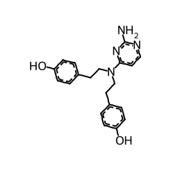 Nc1nccc(N(CCc2ccc(O)cc2)CCc2ccc(O)cc2)n1